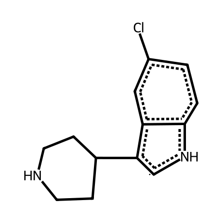 Clc1ccc2[nH][c]c(C3CCNCC3)c2c1